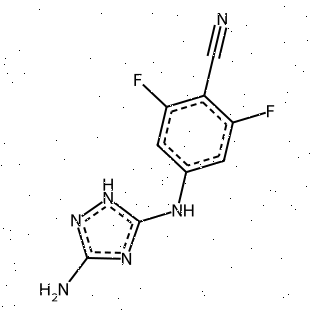 N#Cc1c(F)cc(Nc2nc(N)n[nH]2)cc1F